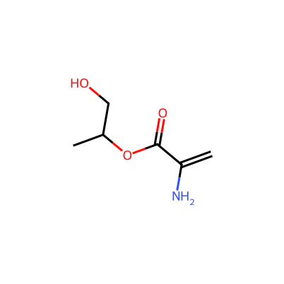 C=C(N)C(=O)OC(C)CO